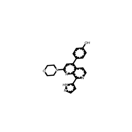 Oc1ccc(-c2cc(N3CCOCC3)nc3c(-c4ccn[nH]4)nccc23)cc1